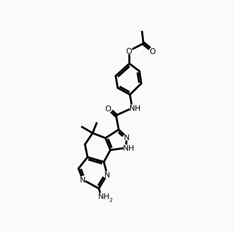 CC(=O)Oc1ccc(NC(=O)c2n[nH]c3c2C(C)(C)Cc2cnc(N)nc2-3)cc1